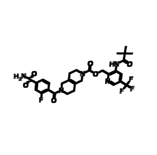 CC(C)(C)C(=O)Nc1cc(C(F)(F)F)cnc1COC(=O)N1CCC2=C(CCN(C(=O)c3ccc(S(N)(=O)=O)cc3F)C2)C1